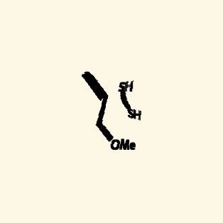 C=CCOC.SS